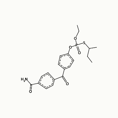 CCOP(=O)(Oc1ccc(C(=O)c2ccc(C(N)=O)cc2)cc1)SC(C)CC